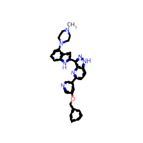 CN1CCN(c2cccc3[nH]c(-c4n[nH]c5ccc(-c6cncc(OCc7ccccc7)c6)nc45)cc23)CC1